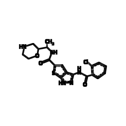 CC(NC(=O)c1cc2c(NC(=O)c3ccccc3Cl)n[nH]c2s1)C1CNCCO1